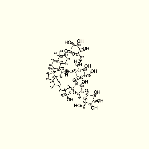 C[C@H](CC[C@@H](O[C@@H]1O[C@H](C)[C@@H](O[C@H]2O[C@H](CO)[C@@H](O)[C@H](O)[C@H]2O)[C@H](O)[C@H]1O[C@H]1O[C@@H](CO)[C@H](O)[C@@H](O)[C@@H]1O)C(C)(C)O)C1CC[C@@]2(C)C3CC=C4C(CC[C@H](O[C@@H]5O[C@H](CO)[C@@H](O)[C@H](O)[C@H]5O)C4(C)C)[C@]3(C)[C@H](O)C[C@]12C